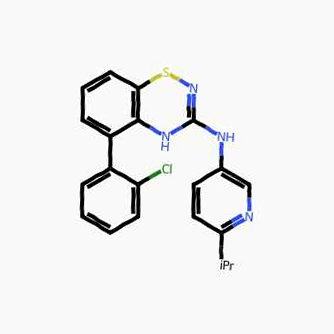 CC(C)c1ccc(NC2=NSc3cccc(-c4ccccc4Cl)c3N2)cn1